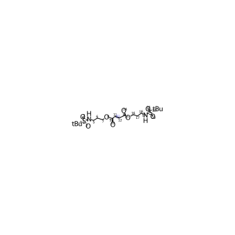 CC(C)(C)S(=O)(=O)NCCCOC(=O)/C=C/C(=O)OCCCNS(=O)(=O)C(C)(C)C